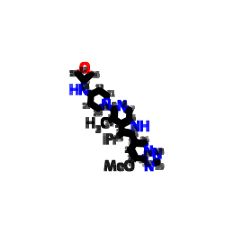 COc1cc(-c2[nH]c3cnc(N4CCC(NC5COC5)CC4)c(C)c3c2C(C)C)cn2ncnc12